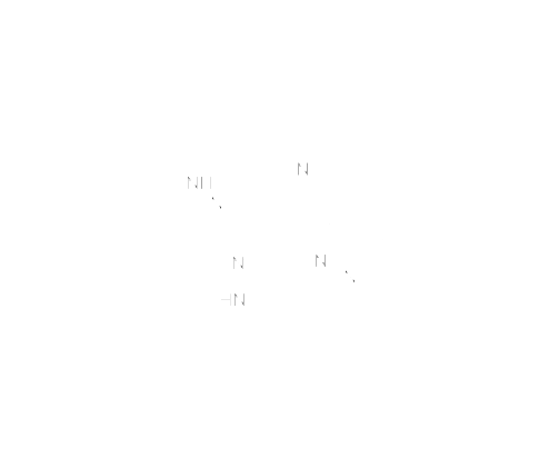 c1cnnc(-c2nccc(N3CCCN3)c2-c2cc[nH]n2)c1